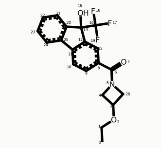 CCOC1CN(C(=O)c2ccc3c(c2)C(O)(C(F)(F)F)c2ccccc2-3)C1